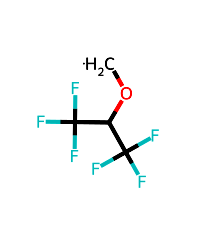 [CH2]OC(C(F)(F)F)C(F)(F)F